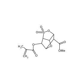 C=C(C)C(=O)OC1C2OC3C(OS(=O)(=O)C13)C2C(=O)OC